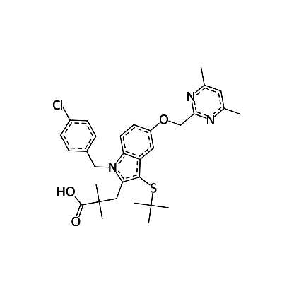 Cc1cc(C)nc(COc2ccc3c(c2)c(SC(C)(C)C)c(CC(C)(C)C(=O)O)n3Cc2ccc(Cl)cc2)n1